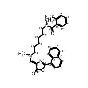 CN(C=C1N=C(c2cccc3ccccc23)OC1=O)CCCCCCN(C)C(=O)c1ccccc1C(F)(F)F